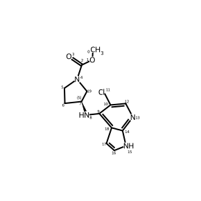 COC(=O)N1CC[C@H](Nc2c(Cl)cnc3[nH]ccc23)C1